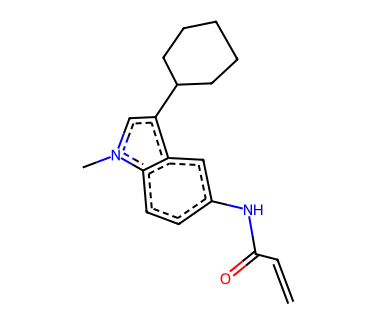 C=CC(=O)Nc1ccc2c(c1)c(C1CCCCC1)cn2C